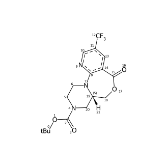 CC(C)(C)OC(=O)N1CCN2c3ncc(C(F)(F)F)cc3C(=O)OC[C@@H]2C1